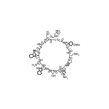 CCCC[C@H]1C(=O)N(C)[C@@H](CCCC)C(=O)N[C@@H](CCCN)C(=O)N[C@H](C(=O)NCC(N)=O)CSCC(=O)N[C@@H](Cc2ccc(OC)cc2)C(=O)N(C)[C@@H](C)C(=O)N[C@@H](CCN)C(=O)N2CCC[C@H]2C(=O)N[C@@H](Cc2cnc[nH]2)C(=O)N[C@@H](CCCCN)C(=O)N2C[C@H](O)C[C@H]2C(=O)N[C@@H](Cc2c[nH]c3ccccc23)C(=O)N[C@@H](CCN)C(=O)N[C@@H](Cc2c[nH]c3ccccc23)C(=O)N1C